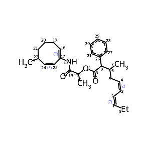 CC/C=C\C=C/CC(C)C(C(=O)OC(C)C(=O)NC1=C/CCCC(C)/C=C\1)c1ccccc1